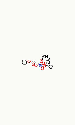 C=CCOC(=O)[C@@H]1C[C@@H](OC2CCCC(COC3CCCCCCC3)O2)CN1C(=O)OCC1c2ccccc2-c2ccccc21